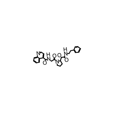 O=C(NCCc1ccccc1)C(=O)C1CCCN1C(=O)CNC(=O)c1ccnc2ccccc12